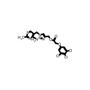 Cc1ncc(Cn2cc(COC(=O)COc3cc(Cl)c(Cl)c(Cl)c3)nn2)c(N)n1